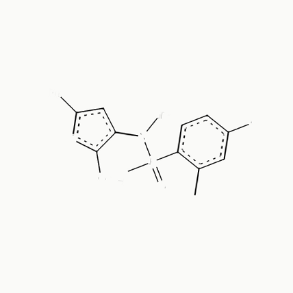 Cc1cc(Cl)ccc1P(C)(=O)N(c1cc(C(C)(C)C)sc1C(=O)O)C(C)C